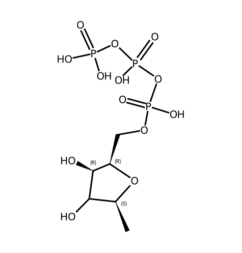 C[C@@H]1O[C@H](COP(=O)(O)OP(=O)(O)OP(=O)(O)O)[C@H](O)C1O